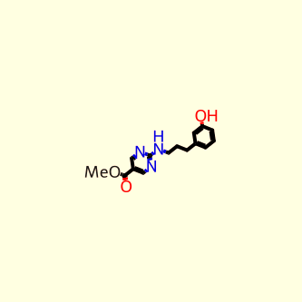 COC(=O)c1cnc(NCCCc2cccc(O)c2)nc1